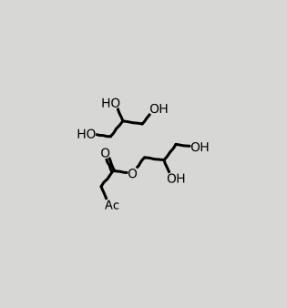 CC(=O)CC(=O)OCC(O)CO.OCC(O)CO